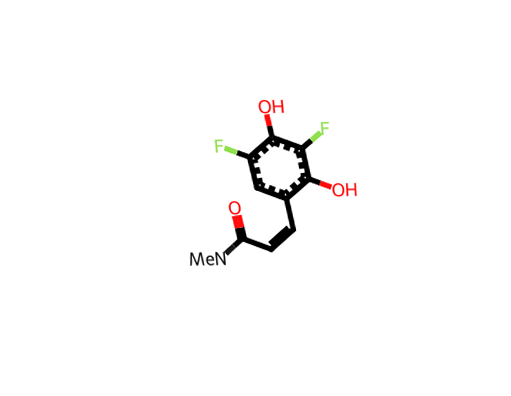 CNC(=O)/C=C\c1cc(F)c(O)c(F)c1O